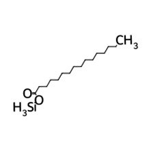 CCCCCCCCCCCCCCCC(=O)O[SiH3]